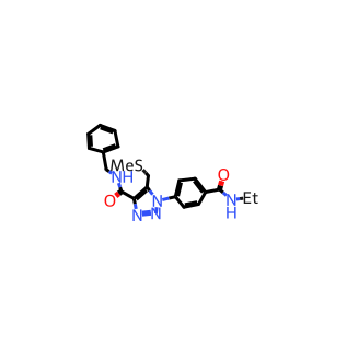 CCNC(=O)c1ccc(-n2nnc(C(=O)NCc3ccccc3)c2CSC)cc1